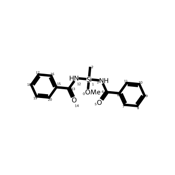 CO[Si](C)(NC(=O)c1ccccc1)NC(=O)c1ccccc1